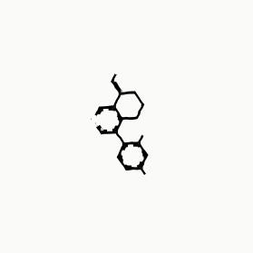 O=C(O)C=C1CCCc2c1cncc2-c1ccc(C(F)(F)F)cc1F